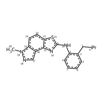 CC(C)Cc1ccccc1Nc1nc2c(ccc3c2cnn3C)s1